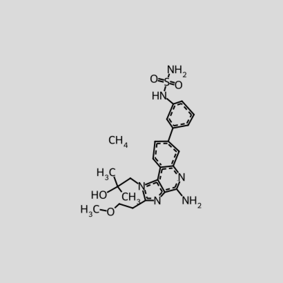 C.COCCc1nc2c(N)nc3cc(-c4cccc(NS(N)(=O)=O)c4)ccc3c2n1CC(C)(C)O